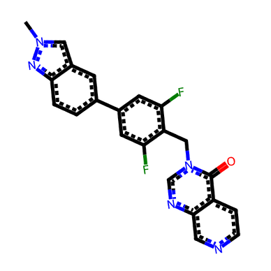 Cn1cc2cc(-c3cc(F)c(Cn4cnc5cnccc5c4=O)c(F)c3)ccc2n1